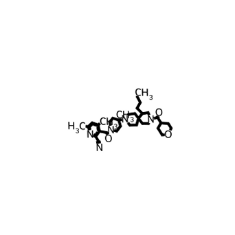 CCCCC1CN(C(=O)C2CCOCC2)CCC12CCN(C1(C)CCN(C(=O)c3c(C)cc(C)nc3C#N)CC1)CC2